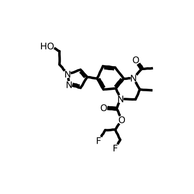 CC(=O)N1c2ccc(-c3cnn(CCO)c3)cc2N(C(=O)OC(CF)CF)CC1C